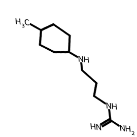 CC1CCC(NCCCNC(=N)N)CC1